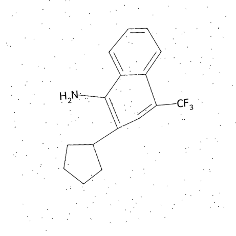 Nc1c(C2CCCC2)cc(C(F)(F)F)c2ccccc12